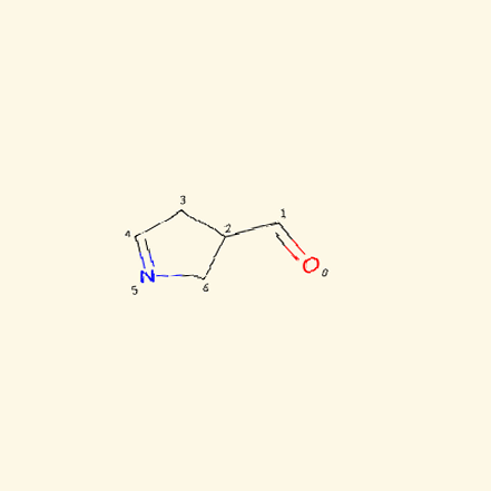 O=CC1CC=NC1